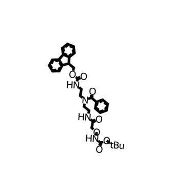 CC(C)(C)OC(=O)NOCC(=O)NCCN(CCNC(=O)OCC1c2ccccc2-c2ccccc21)C(=O)c1ccccc1